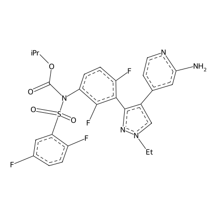 CCn1cc(-c2ccnc(N)c2)c(-c2c(F)ccc(N(C(=O)OC(C)C)S(=O)(=O)c3cc(F)ccc3F)c2F)n1